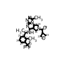 Cc1c([C@@H](C)Nc2nc3nnc(C)n3c3c2CN(C(=O)C2COC2)C3)cccc1C(F)(F)F